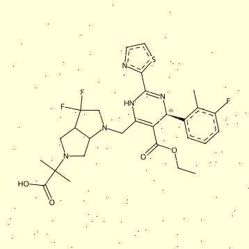 CCOC(=O)C1=C(CN2CC(F)(F)C3CN(C(C)(C)C(=O)O)CC32)NC(c2nccs2)=N[C@H]1c1cccc(F)c1C